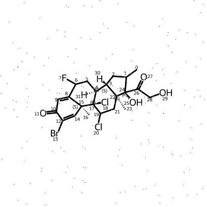 CC1C[C@H]2[C@@H]3CC(F)C4=CC(=O)C(Br)=C[C@]4(C)[C@@]3(Cl)C(Cl)C[C@]2(C)[C@@]1(O)C(=O)CO